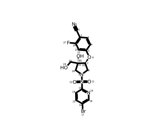 N#Cc1ccc(O[C@H]2CN(S(=O)(=O)c3ccc(Br)cn3)C[C@@]2(O)CO)cc1F